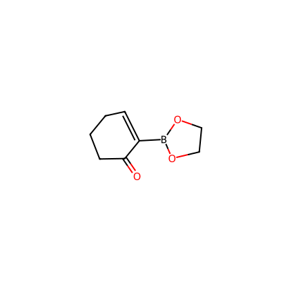 O=C1CCCC=C1B1OCCO1